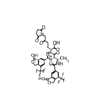 C[C@H](NC(=O)c1cc2c(c(C(F)(F)F)c1)COB2O)[C@H](NC(=O)c1cc2c(c(C(F)(F)F)c1)COB2O)C(=O)NC(CCC(=O)CN1C(=O)CCC1=O)C(=O)O